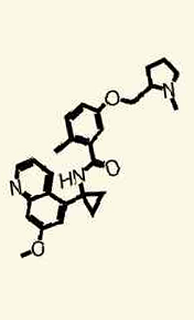 COc1cc(C2(NC(=O)c3cc(OCC4CCCN4C)ccc3C)CC2)c2cccnc2c1